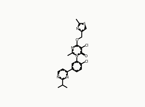 Cc1nc(COc2nc(C)n(-c3cc(-c4ccnc(C(C)C)n4)ccc3Cl)c(=O)c2Cl)cs1